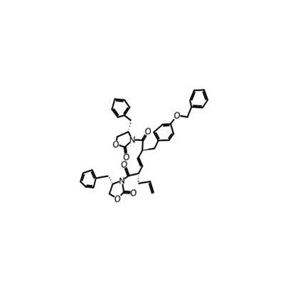 C=CC[C@@H](C=C[C@H](Cc1ccc(OCc2ccccc2)cc1)C(=O)N1C(=O)OC[C@@H]1Cc1ccccc1)C(=O)N1C(=O)OC[C@@H]1Cc1ccccc1